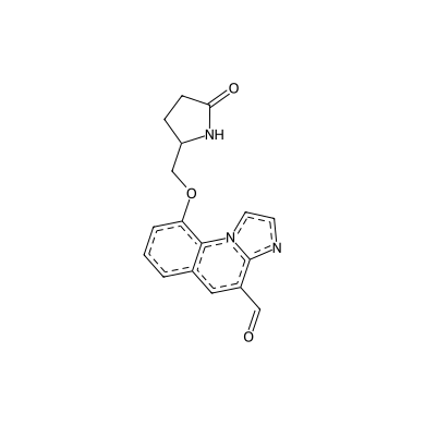 O=Cc1cc2cccc(OCC3CCC(=O)N3)c2n2ccnc12